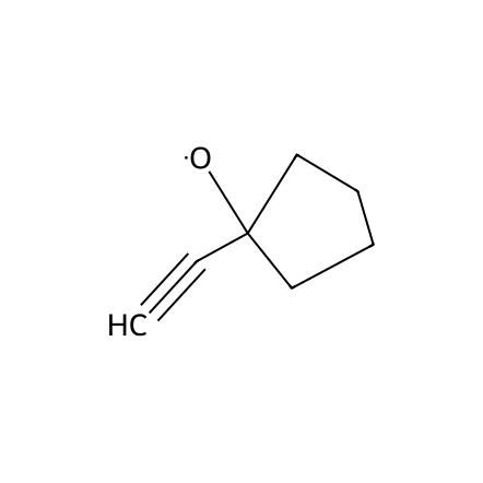 C#CC1([O])CCCC1